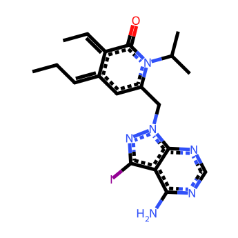 C/C=c1/c(=O)n(C(C)C)c(Cn2nc(I)c3c(N)ncnc32)c/c1=C/CC